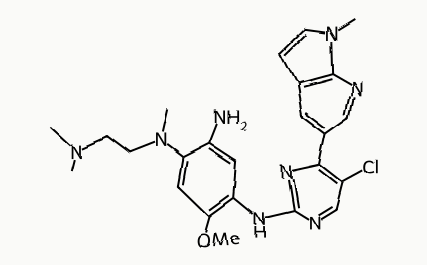 COc1cc(N(C)CCN(C)C)c(N)cc1Nc1ncc(Cl)c(-c2cnc3c(ccn3C)c2)n1